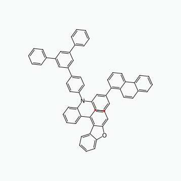 c1ccc(-c2cc(-c3ccccc3)cc(-c3ccc(N(c4cccc(-c5cccc6c5ccc5ccccc56)c4)c4ccccc4-c4cccc5oc6ccccc6c45)cc3)c2)cc1